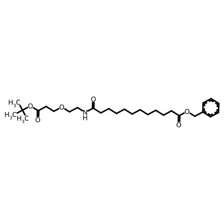 CC(C)(C)OC(=O)CCOCCNC(=O)CCCCCCCCCCC(=O)OCc1ccccc1